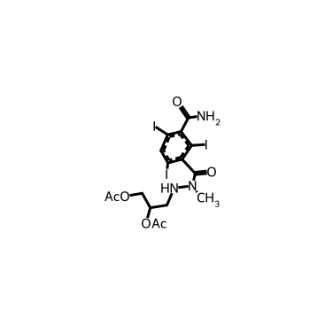 CC(=O)OCC(CNN(C)C(=O)c1c(I)cc(I)c(C(N)=O)c1I)OC(C)=O